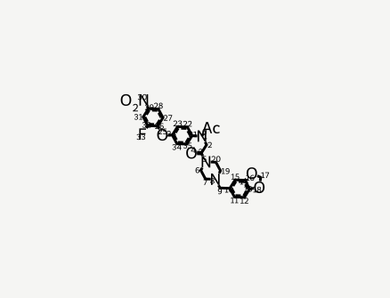 CC(=O)N(CC(=O)N1CCN(Cc2ccc3c(c2)OCO3)CC1)c1ccc(Oc2ccc([N+](=O)[O-])cc2F)cc1